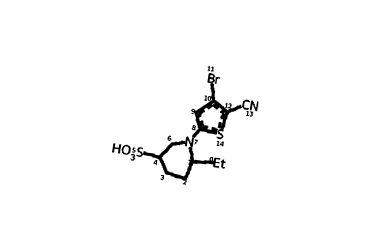 CCC1CCC(S(=O)(=O)O)CN1c1cc(Br)c(C#N)s1